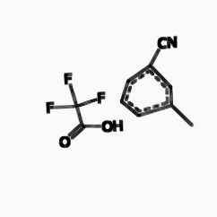 Cc1cccc(C#N)c1.O=C(O)C(F)(F)F